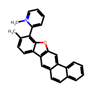 Cc1ccc2c(oc3cc4c(ccc5ccccc54)cc32)c1-c1cccc[n+]1C